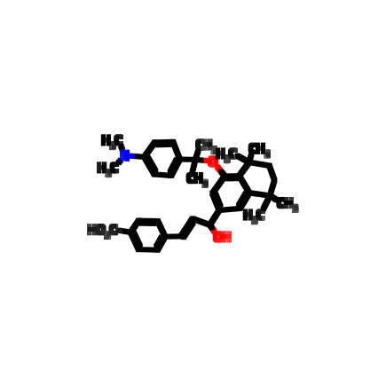 CN(C)c1ccc(C(C)(C)Oc2cc(C(O)C=Cc3ccc(C(=O)O)cc3)cc3c2C(C)(C)CCC3(C)C)cc1